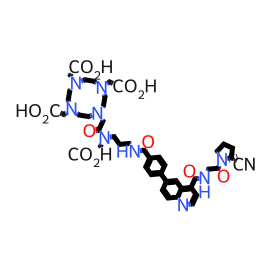 N#C[C@@H]1CCCN1C(=O)CNC(=O)c1ccnc2ccc(-c3ccc(C(=O)NCCCN(CC(=O)O)C(=O)CN4CCN(CC(=O)O)CCN(CC(=O)O)CCN(CC(=O)O)CC4)cc3)cc12